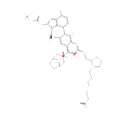 CC(C)(C)OC(=O)Nc1sc2c(F)ccc(-c3c(Cl)cc4c(N5CC6CCC(C5)N6C(=O)OC(C)(C)C)nc(OCC5CCCN5CCCOCCC(=O)O)nc4c3F)c2c1C#N